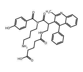 Cc1nc2ccccc2c(-c2ccccc2)c1C(CNC(=O)CCCC(=O)O)C(=O)N(CCCCN)C(=O)c1ccc(O)cc1